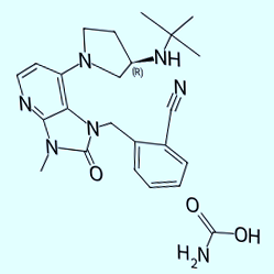 Cn1c(=O)n(Cc2ccccc2C#N)c2c(N3CC[C@@H](NC(C)(C)C)C3)ccnc21.NC(=O)O